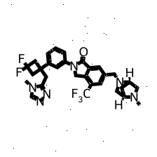 CN1C[C@@H]2C[C@H]1CN2Cc1cc2c(c(C(F)(F)F)c1)CN(c1cccc(C3(Cc4nncn4C)CC(F)(F)C3)c1)C2=O